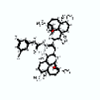 C[C@H]1[C@@H](/C(C[C@H]2O[C@@H]3C[C@]4(C)CC[C@H]5[C@H](C)CC[C@@H]([C@H]2C)[C@@]35OO4)=N\OC(=O)Nc2cc(F)cc(F)c2)O[C@@H]2C[C@]3(C)CC[C@H]4[C@H](C)CC[C@@H]1[C@@]24OO3